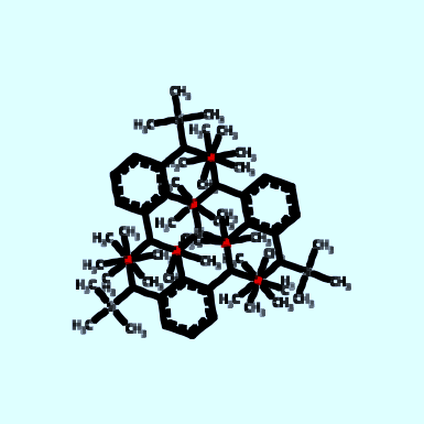 C[Si](C)(C)C(c1cccc(C([Si](C)(C)C)[Si](C)(C)C)c1[S][Bi]([S]c1c(C([Si](C)(C)C)[Si](C)(C)C)cccc1C([Si](C)(C)C)[Si](C)(C)C)[S]c1c(C([Si](C)(C)C)[Si](C)(C)C)cccc1C([Si](C)(C)C)[Si](C)(C)C)[Si](C)(C)C